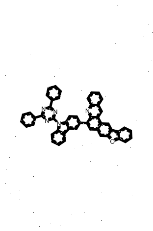 c1ccc(-c2nc(-c3ccccc3)nc(-n3c4ccccc4c4cc(-c5cc6cc7oc8ccccc8c7cc6c6cc7ccccc7nc56)ccc43)n2)cc1